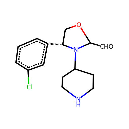 O=CC1OC[C@@H](c2cccc(Cl)c2)N1C1CCNCC1